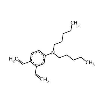 C=Cc1ccc(N(CCCCC)CCCCC)cc1C=C